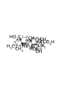 CC1(C)CC[C@]2(C(=O)O)CC[C@]3(C)C(=CC[C@@H]4[C@]5(C)[C@@H](CC[C@]43C)[C@](C)(C(=O)O)CCC5(O)O)[C@@H]2C1